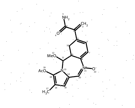 C=C(C(N)=O)C1=CC=C2C(C1)C(OC)n1c(cc(C)c1OC(C)=O)C=[N+]2[O-]